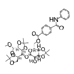 COC(OC)[C@@H]1OC(C)(C)O[C@H]1[C@H](O[C@@H]1O[C@H](COC(=O)c2ccc(C(=O)Nc3ccccc3)cc2)[C@@H]2OC(C)(C)O[C@@H]2[C@H]1O)[C@H]1COC(C)(C)O1